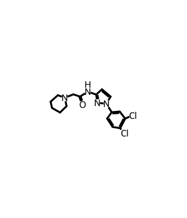 O=C(CN1CCCCC1)Nc1ccn(-c2ccc(Cl)c(Cl)c2)n1